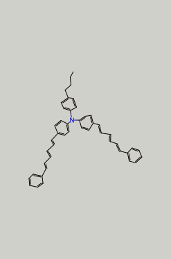 CCCCc1ccc(N(c2ccc(/C=C/C=C/C=C/c3ccccc3)cc2)c2ccc(/C=C/C=C/C=C/c3ccccc3)cc2)cc1